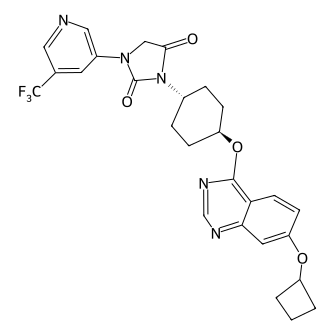 O=C1CN(c2cncc(C(F)(F)F)c2)C(=O)N1[C@H]1CC[C@H](Oc2ncnc3cc(OC4CCC4)ccc23)CC1